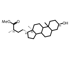 COC(=O)[C@@H](C)CC[C@H]1CCC2C3CCC4C[C@H](O)CCC4(C)C3CC[C@@]21C